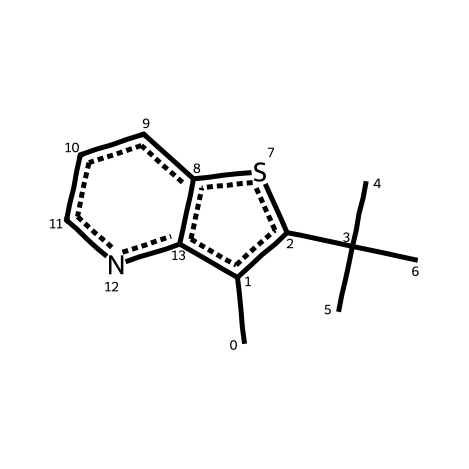 Cc1c(C(C)(C)C)sc2cccnc12